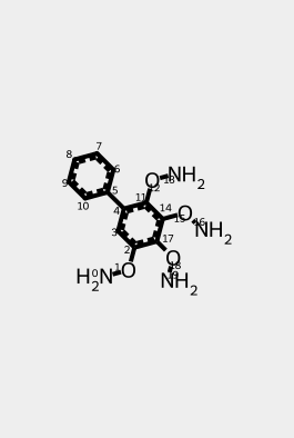 NOc1cc(-c2ccccc2)c(ON)c(ON)c1ON